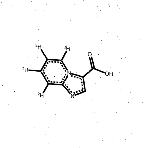 [2H]c1c([2H])c([2H])n2c(C(=O)O)cnc2c1[2H]